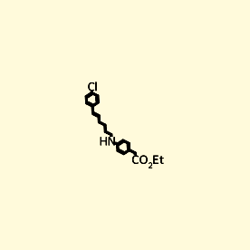 CCOC(=O)Cc1ccc(NCCCC/C=C/c2ccc(Cl)cc2)cc1